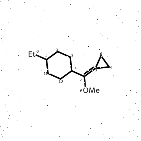 CCC1CCC(C(OC)=C2CC2)CC1